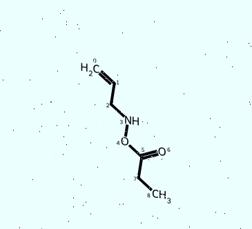 C=CCNOC(=O)CC